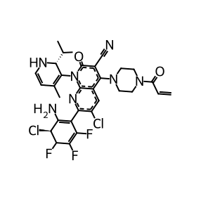 C=CC(=O)N1CCN(c2c(C#N)c(=O)n(C3=C(C)C=CN[C@@H]3C(C)C)c3nc(C4=C(N)[C@H](Cl)C(F)C(F)=C4F)c(Cl)cc23)CC1